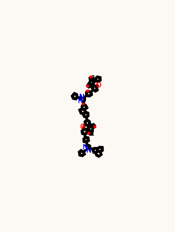 C1=Cc2cc(-c3cc(-c4ccc(-c5ccc6c(c5)C5(c7ccc(-c8ccc9c(ccc%10cc(-c%11cc(-c%12ccc(-c%13ccc%14c(c%13)C%13(c%15ccccc%15O%14)c%14ccccc%14-c%14ccccc%14%13)cc%12)nc(-c%12ccccc%12)n%11)ccc%109)c8)cc7O6)c6ccccc6-c6ccccc65)cc4)nc(-c4ccccc4)n3)cc3cccc(c23)C1